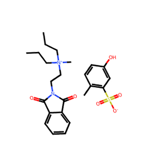 CCC[N+](C)(CCC)CCN1C(=O)c2ccccc2C1=O.Cc1ccc(O)cc1S(=O)(=O)[O-]